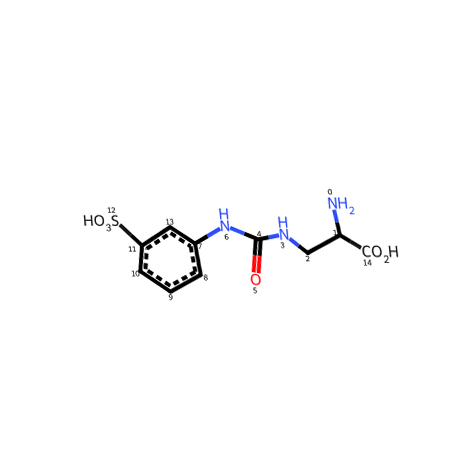 NC(CNC(=O)Nc1cccc(S(=O)(=O)O)c1)C(=O)O